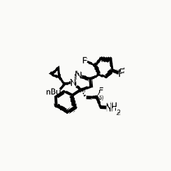 CCCCC(C1CC1)N1N=C(c2cc(F)ccc2F)C[C@@]1(C[C@H](F)CN)c1ccccc1